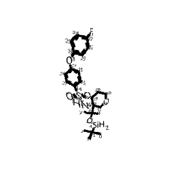 CC(C)(C)[SiH2]OC(C)(C)[C@@]1(NS(=O)(=O)c2ccc(Oc3ccc(F)cc3)cc2)CCCOC1